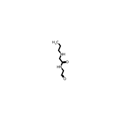 CCCNCC(=O)NC[C]=O